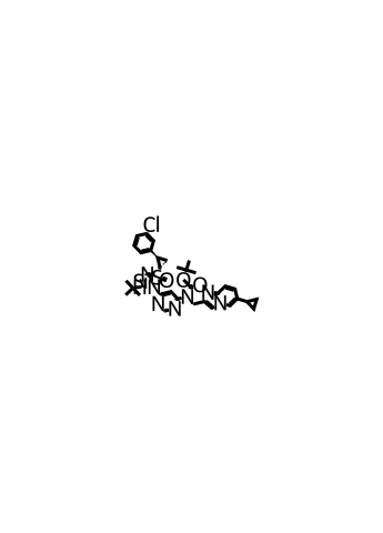 CC(C)(C)OC(=O)N(Cc1cn2cc(C3CC3)ccc2n1)c1cc(N[S@@](=O)(=N[Si](C)(C)C(C)(C)C)[C@H]2C[C@@H]2c2cccc(Cl)c2)ncn1